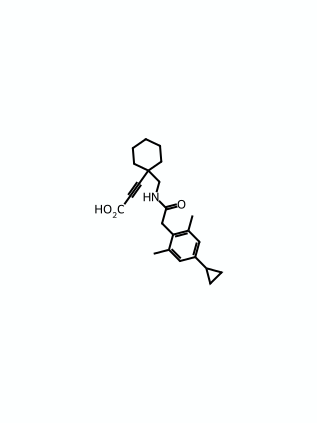 Cc1cc(C2CC2)cc(C)c1CC(=O)NCC1(C#CC(=O)O)CCCCC1